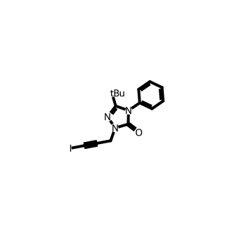 CC(C)(C)c1nn(CC#CI)c(=O)n1-c1ccccc1